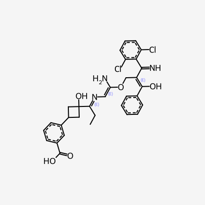 CC/C(=N\C=C(/N)OC/C(C(=N)c1c(Cl)cccc1Cl)=C(/O)c1ccccc1)C1(O)CC(c2cccc(C(=O)O)c2)C1